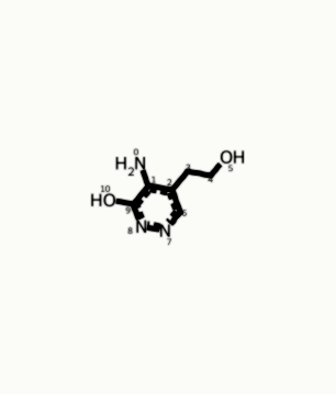 Nc1c(CCO)cnnc1O